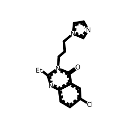 CCc1nc2ccc(Cl)cc2c(=O)n1CCCn1ccnc1